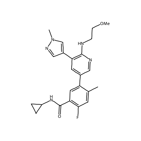 COCCNc1ncc(-c2cc(C(=O)NC3CC3)c(F)cc2C)cc1-c1cnn(C)c1